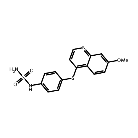 COc1ccc2c(Sc3ccc(NS(N)(=O)=O)cc3)ccnc2c1